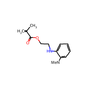 C=C(C)C(=O)OCCNc1ccccc1NC